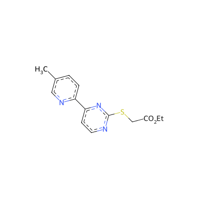 CCOC(=O)CSc1nccc(-c2ccc(C)cn2)n1